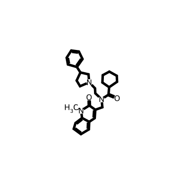 Cn1c(=O)c(CN(CCN2CCC(c3ccccc3)C2)C(=O)C2CCCCC2)cc2ccccc21